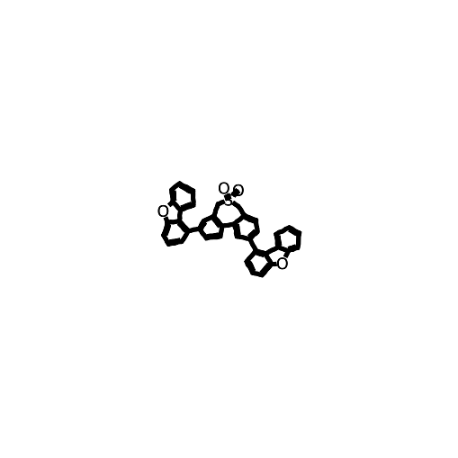 O=S1(=O)Cc2cc(-c3cccc4oc5ccccc5c34)ccc2-c2cc(-c3cccc4oc5ccccc5c34)ccc2C1